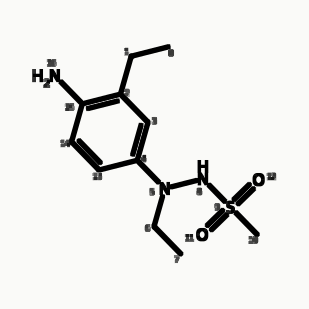 CCc1cc(N(CC)NS(C)(=O)=O)ccc1N